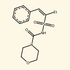 CCC(=Cc1ccccc1)S(=O)(=O)NC(=O)N1CCOCC1